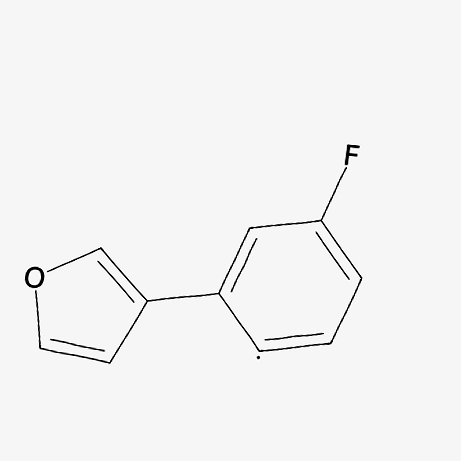 Fc1cc[c]c(-c2ccoc2)c1